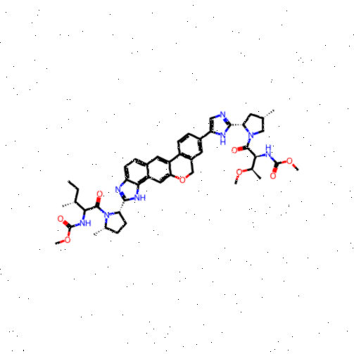 CC[C@@H](C)C(NC(=O)OC)C(=O)N1[C@@H](C)CC[C@H]1c1nc2ccc3cc4c(cc3c2[nH]1)OCc1cc(-c2cnc([C@@H]3C[C@H](C)CN3C(=O)[C@@H](NC(=O)OC)[C@@H](C)OC)[nH]2)ccc1-4